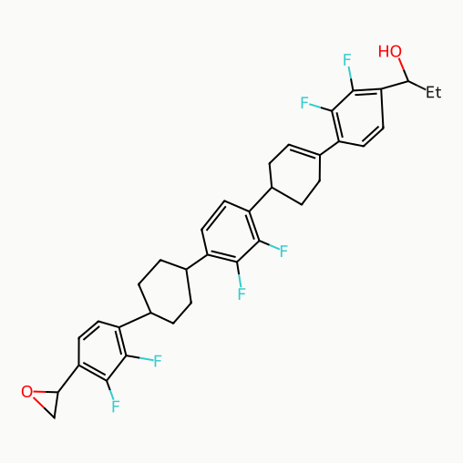 CCC(O)c1ccc(C2=CCC(c3ccc(C4CCC(c5ccc(C6CO6)c(F)c5F)CC4)c(F)c3F)CC2)c(F)c1F